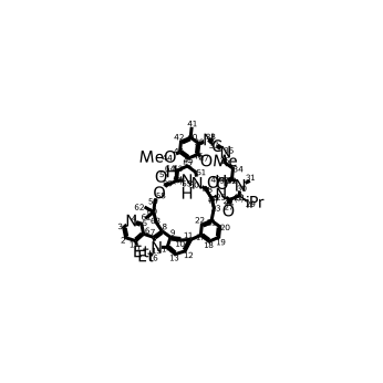 CCc1ccncc1-c1c2c3cc(ccc3n1CC)-c1cccc(c1)C[C@H](NC(=O)[C@H](C(C)C)N(C)C(=O)CCN=C=Nc1c(C)cc(OC)cc1OC)C(=O)N1CCC[C@H](N1)C(=O)OCC(C)(C)C2